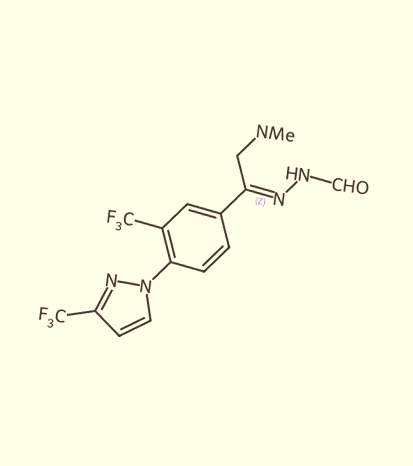 CNC/C(=N\NC=O)c1ccc(-n2ccc(C(F)(F)F)n2)c(C(F)(F)F)c1